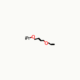 C=CCOC/C=C/COC(C)C